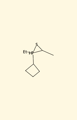 CC[PH]1(C2CCC2)SC1C